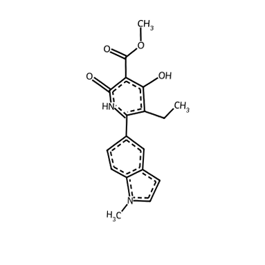 CCc1c(-c2ccc3c(ccn3C)c2)[nH]c(=O)c(C(=O)OC)c1O